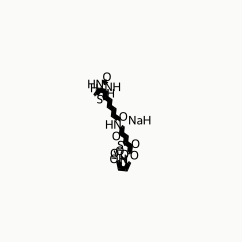 O=C(CNC(=O)CCCCC1SC[C@@H]2NC(=O)N[C@H]12)CC(SOOO)C(=O)C(=O)ON1CCCC1.[NaH]